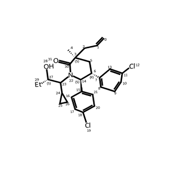 C=CC[C@@]1(C)C[C@H](c2cccc(Cl)c2)[C@@H](c2ccc(Cl)cc2)N(C(C2CC2)[C@@H](O)CC)C1=O